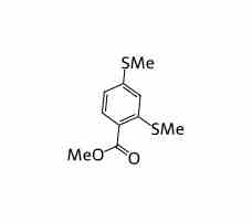 COC(=O)c1ccc(SC)cc1SC